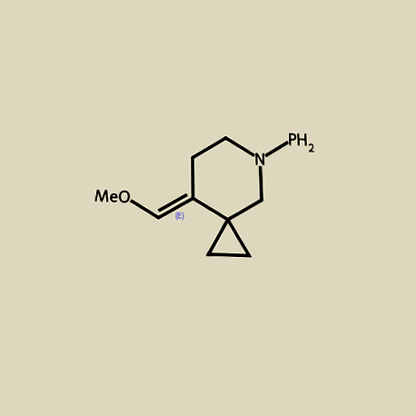 CO/C=C1\CCN(P)CC12CC2